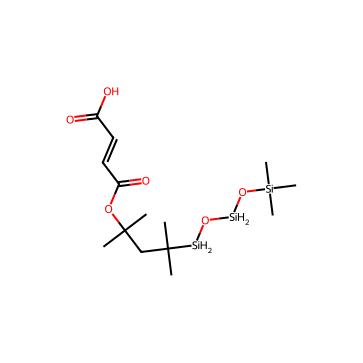 CC(C)(CC(C)(C)[SiH2]O[SiH2]O[Si](C)(C)C)OC(=O)C=CC(=O)O